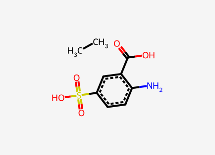 CC.Nc1ccc(S(=O)(=O)O)cc1C(=O)O